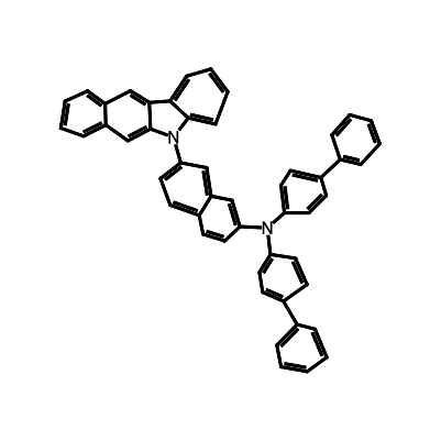 c1ccc(-c2ccc(N(c3ccc(-c4ccccc4)cc3)c3ccc4ccc(-n5c6ccccc6c6cc7ccccc7cc65)cc4c3)cc2)cc1